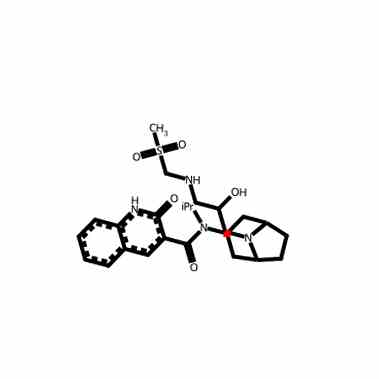 CC(C)N(C(=O)c1cc2ccccc2[nH]c1=O)C1CC2CCC(C1)N2CC(O)CNCS(C)(=O)=O